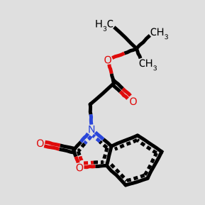 CC(C)(C)OC(=O)Cn1c(=O)oc2ccccc21